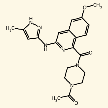 COc1ccc2c(C(=O)N3CCN(C(C)=O)CC3)nc(Nc3cc(C)[nH]n3)cc2c1